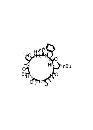 CCCC[C@@H](C)CC1NC(=O)[C@H](Cc2ccccc2)N(C)C(=O)[C@H](CC(C)C)NC(=O)C(CC(C)C)N(C)C(=O)C(CC)NC(=O)[C@@H](C)OC(=O)[C@H](C)N(C)C1=O